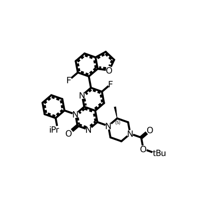 CC(C)c1ccccc1-n1c(=O)nc(N2CCN(C(=O)OC(C)(C)C)C[C@@H]2C)c2cc(F)c(-c3c(F)ccc4ccoc34)nc21